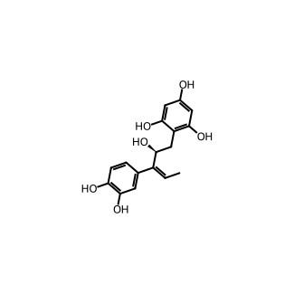 C/C=C(/c1ccc(O)c(O)c1)[C@@H](O)Cc1c(O)cc(O)cc1O